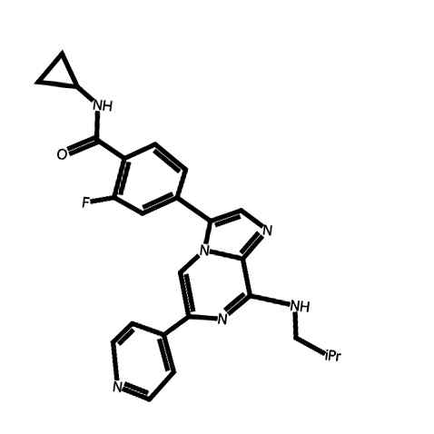 CC(C)CNc1nc(-c2ccncc2)cn2c(-c3ccc(C(=O)NC4CC4)c(F)c3)cnc12